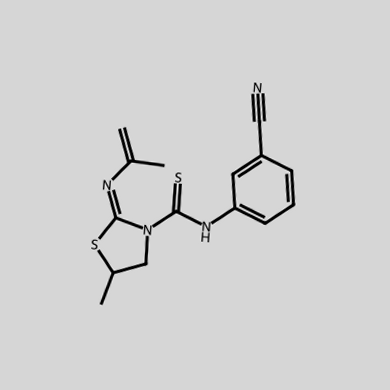 C=C(C)/N=C1/SC(C)CN1C(=S)Nc1cccc(C#N)c1